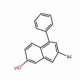 CC(=O)c1cc(-c2ccccc2)c2ccc(O)cc2c1